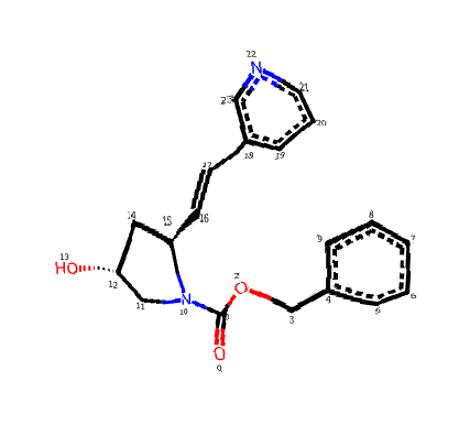 O=C(OCc1ccccc1)N1C[C@H](O)C[C@H]1C=Cc1cccnc1